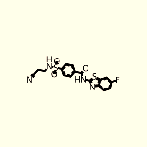 N#CCCNS(=O)(=O)c1ccc(C(=O)Nc2nc3ccc(F)cc3s2)cc1